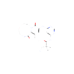 Cc1cc(Nc2cc(NC(=O)C3(CN)CC3)ncn2)c(=O)n2c1C(=O)NCCOCC2